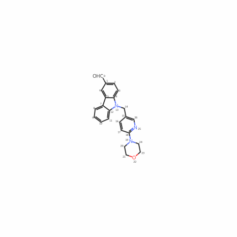 O=Cc1ccc2c(c1)c1ccccc1n2Cc1ccc(N2CCOCC2)nc1